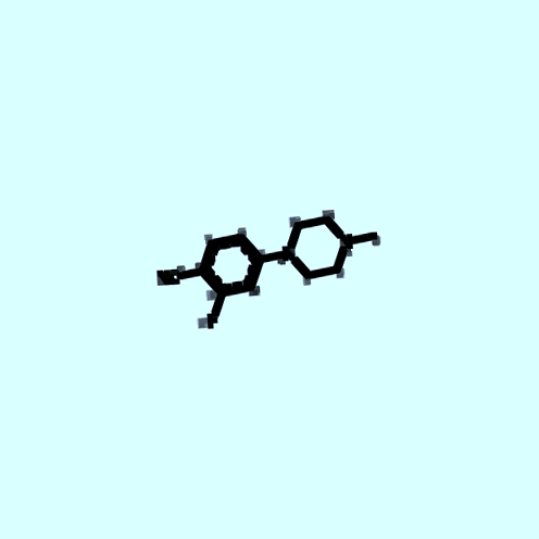 CN1CCN(c2ccc(C#N)c(F)c2)CC1